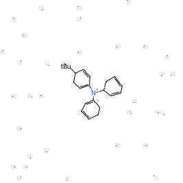 CC(C)(C)C1C=CC(N(C2=CC=CCC2)C2C=CC=CC2)=CC1